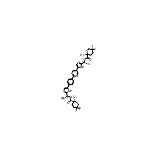 CC1(C(=O)N[C@H](c2ncc(-c3ccc(-c4ncc(-c5cnc([C@@H](NC(=O)C6(C)CCC(F)(F)CO6)C(C)(C)C)[nH]5)cn4)cc3)[nH]2)C(C)(C)C)CCC(F)(F)CO1